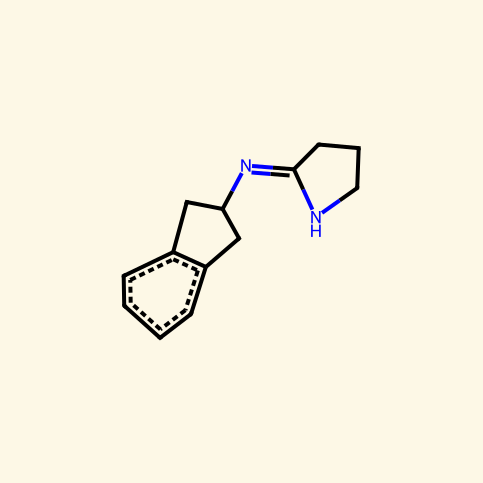 c1ccc2c(c1)CC(/N=C1/CCCN1)C2